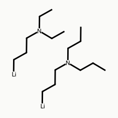 [Li][CH2]CCN(CC)CC.[Li][CH2]CCN(CCC)CCC